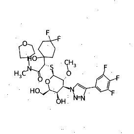 CO[C@@H]1[C@@H](n2cc(-c3cc(F)c(F)c(F)c3)nn2)[C@@H](O)[C@@H](CO)O[C@H]1S[C@H](C(=O)N(C)C1CCOCC1)C1(O)CCC(F)(F)CC1